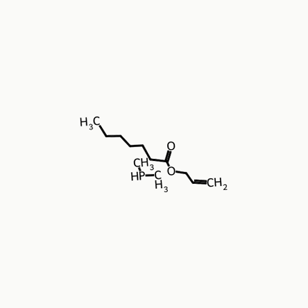 C=CCOC(=O)CCCCCC.CPC